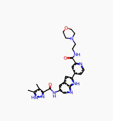 Cc1[nH]nc(C(=O)Nc2cnc3[nH]c(-c4ccnc(C(=O)NCCN5CCOCC5)c4)cc3c2)c1C